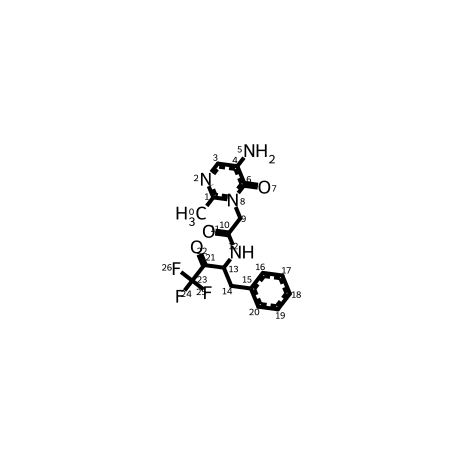 Cc1ncc(N)c(=O)n1CC(=O)NC(Cc1ccccc1)C(=O)C(F)(F)F